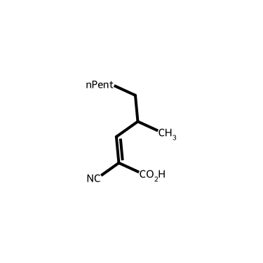 CCCCCCC(C)C=C(C#N)C(=O)O